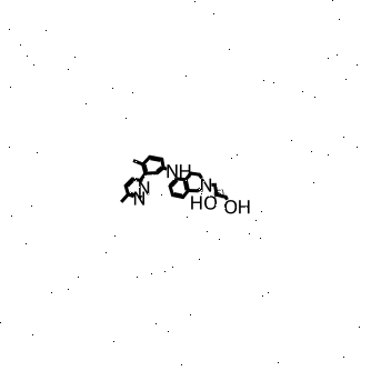 Cc1ccc(-c2cc(Nc3cccc4c3CCN(C[C@H](O)CO)C4)ccc2C)nn1